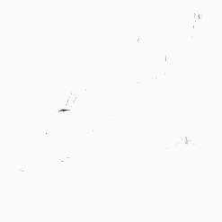 NC(=O)CC[C@H](NC(=O)[C@H](CCC(N)=O)NC(=O)[C@@H]1CCCN1C(=O)[C@@H]1CCCN1)C(=O)O